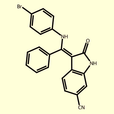 N#Cc1ccc2c(c1)NC(=O)/C2=C(\Nc1ccc(Br)cc1)c1ccccc1